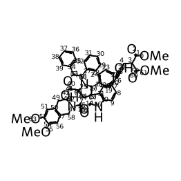 COC(=O)C(CC#Cc1ccc2c(c1)[C@]1(C(=O)N2)[C@H](c2ccc(O)cc2)N2[C@H](c3ccccc3)[C@H](c3ccccc3)OC(=O)[C@H]2[C@@H]1C(=O)N1CCc2cc(OC)c(OC)cc2C1)C(=O)OC